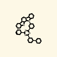 c1ccc(-c2nc(-c3cccc(-c4ccccc4)c3)nc(-c3cccc(-n4c5ccccc5c5ccc6c7ccccc7sc6c54)c3)n2)cc#1